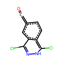 O=C=c1ccc2c(c1)C(Cl)=NNC=2Cl